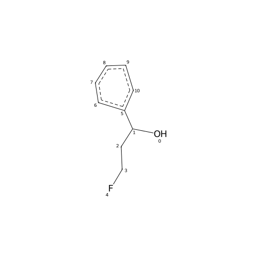 OC(CCF)c1ccccc1